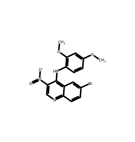 COc1ccc(Nc2c([N+](=O)[O-])cnc3ccc(Br)cc23)c(OC)c1